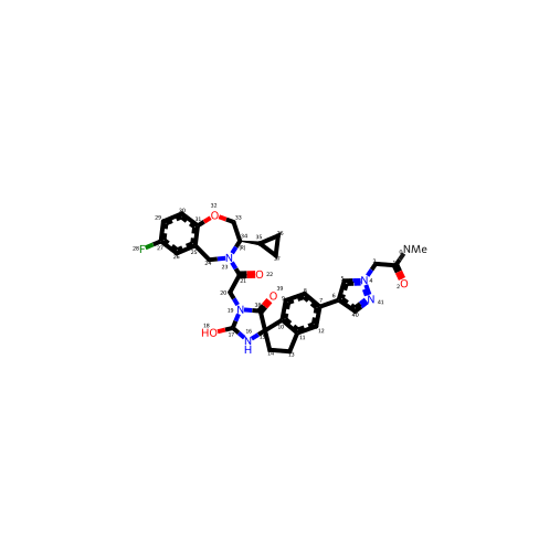 CNC(=O)Cn1cc(-c2ccc3c(c2)CCC32NC(O)N(CC(=O)N3Cc4cc(F)ccc4OC[C@H]3C3CC3)C2=O)cn1